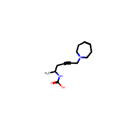 CC(CC#CCN1CCCCCC1)NC(=O)O